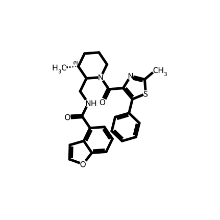 Cc1nc(C(=O)N2CCC[C@@H](C)C2CNC(=O)c2cccc3occc23)c(-c2ccccc2)s1